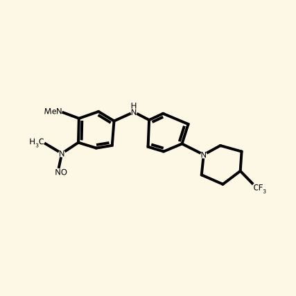 CNc1cc(Nc2ccc(N3CCC(C(F)(F)F)CC3)cc2)ccc1N(C)N=O